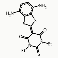 CCN1C(=O)C(=C2Sc3c(N)ccc(N)c3S2)C(=O)N(CC)C1=S